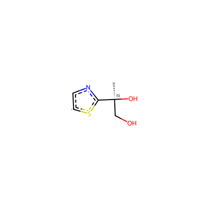 C[C@](O)(CO)c1nc[c]s1